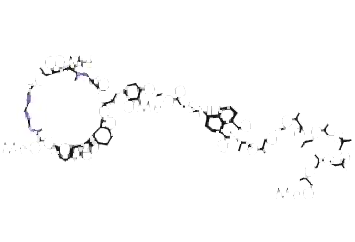 COCC(C)OCC(C)OCC(C)OCC(C)OCC(C)OCC(C)OCC(C)OCCOCC(C)OCC(C)N1C(=O)c2cccc3c(NCSCC(=O)OCCO[C@@H]4CC[C@@H](C[C@H](C)C5CC(=O)[C@H](C)/C=C(\C)[C@@H](O)[C@@H](OC)C(=O)C(C)C[C@H](C)/C=C/C=C/C=C(\C)[C@@H](OC)C[C@@H]6CC[C@@H](C)[C@@](O)(O6)C(=O)C(=O)C6CCCCC6C(=O)O5)C[C@H]4OC)ccc(c23)C1=O